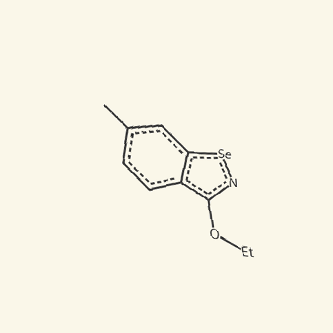 CCOc1n[se]c2cc(C)ccc12